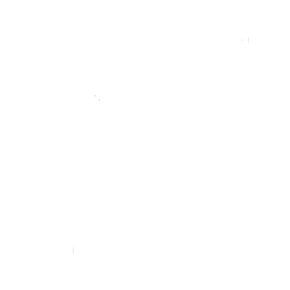 CCCCc1ccc(N(c2ccccc2)c2ccc(CCCC)cc2)cc1